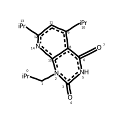 CC(C)Cn1c(=O)[nH]c(=O)c2c(C(C)C)cc(C(C)C)nc21